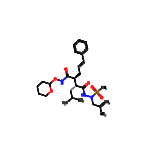 C=C(C)CN(NC(=O)[C@H](CC(C)C)[C@H](CC=Cc1ccccc1)C(=O)NOC1CCCCO1)S(C)(=O)=O